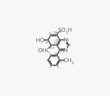 Cc1ccccc1-c1ncnc2c1C(C=O)C(O)C=C2S(=O)(=O)O